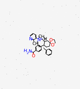 Cc1ncccc1[N+]1(C)Cc2cc(C(N)=O)ccc2[C@]2(Cc3ccccc3)CCC3(C[C@@H]2C1)OCCO3